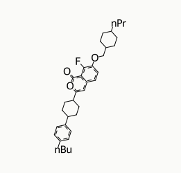 CCCCc1ccc(C2CCC(c3cc4ccc(OCC5CCC(CCC)CC5)c(F)c4c(=O)o3)CC2)cc1